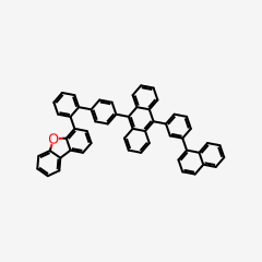 c1cc(-c2cccc3ccccc23)cc(-c2c3ccccc3c(-c3ccc(-c4ccccc4-c4cccc5c4oc4ccccc45)cc3)c3ccccc23)c1